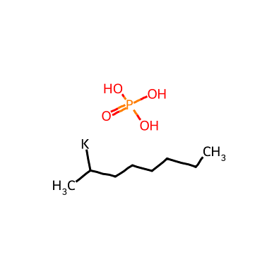 CCCCCC[CH](C)[K].O=P(O)(O)O